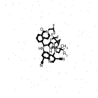 CC(C)(C)CNc1c(C#N)cnc2c(C#N)cc(N[C@H](C3=CN(C4(C(F)(F)F)CC4)NN3)c3cccc4c(=O)n(CC(F)F)ccc34)cc12